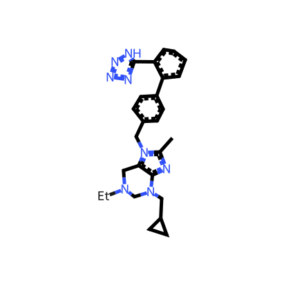 CCN1Cc2c(nc(C)n2Cc2ccc(-c3ccccc3-c3nnn[nH]3)cc2)N(CC2CC2)C1